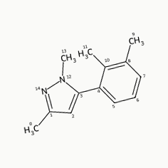 Cc1cc(-c2cccc(C)c2C)n(C)n1